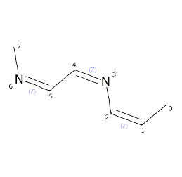 C\C=C/N=C\C=N/C